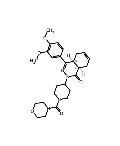 COc1ccc(C2=NN(C3CCN(C(=O)N4CCOCC4)CC3)C(=O)[C@@H]3CC=CC[C@H]23)cc1OC